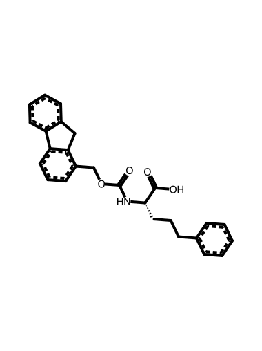 O=C(N[C@@H](CCCc1ccccc1)C(=O)O)OCc1cccc2c1Cc1ccccc1-2